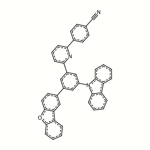 N#Cc1ccc(-c2cccc(-c3cc(-c4ccc5oc6ccccc6c5c4)cc(-n4c5ccccc5c5ccccc54)c3)n2)cc1